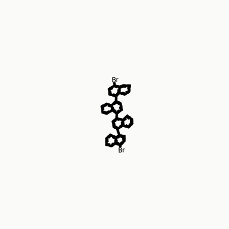 Brc1ccc(-c2ccc(-c3ccc(-c4ccc(Br)c5ccccc45)c4ccccc34)c3ccccc23)c2ccccc12